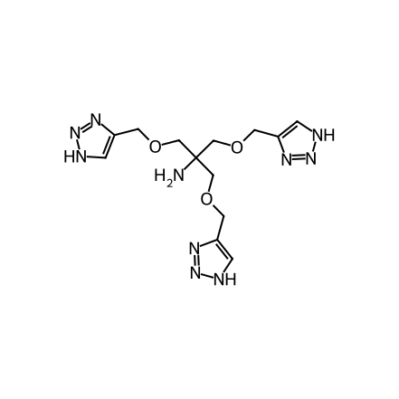 NC(COCc1c[nH]nn1)(COCc1c[nH]nn1)COCc1c[nH]nn1